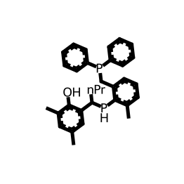 CCCC(Pc1c(C)cccc1CP(c1ccccc1)c1ccccc1)c1cc(C)cc(C)c1O